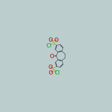 O=C1c2cc(S(=O)(=O)Cl)ccc2CCc2ccc(S(=O)(=O)Cl)cc21